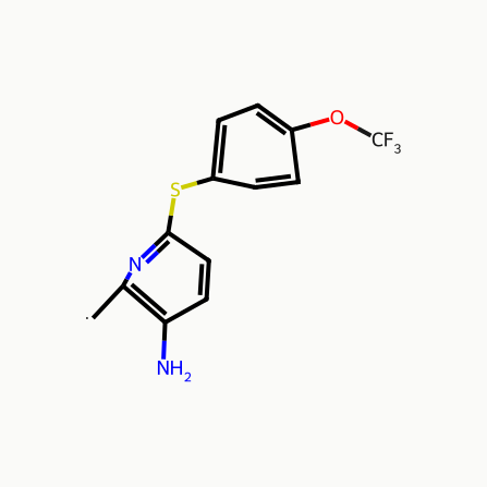 [CH2]c1nc(Sc2ccc(OC(F)(F)F)cc2)ccc1N